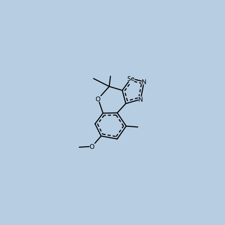 COc1cc(C)c2c(c1)OC(C)(C)c1[se]nnc1-2